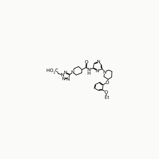 CCOc1ccccc1OC1CCCN(c2cncc(NC(=O)C3CCN(c4nnn(CC(=O)O)n4)CC3)n2)C1